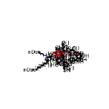 CCCCCCCCCCCCC/C=C/[C@@H](O)[C@H](CO[C@@H]1OC(CO)[C@@H](O[C@@H]2OC(CO)[C@H](O)[C@H](O[C@@H]3OC(CO)[C@@H](O[C@H]4OC(C)[C@@H](O)C(O)[C@@H]4O)[C@H](O[C@@H]4OC(CO)[C@H](O)[C@H](O[C@@H]5OC(CO)[C@@H](O[C@H]6OC(C)[C@@H](O)C(O)[C@@H]6O)[C@H](O[C@@H]6OC(CO)[C@H](O)[C@H](O)C6O)C5NC(C)=O)C4O)C3NC(C)=O)C2O)[C@H](O)C1O)NC(=O)CCCCCCCCCCCCCCCCC